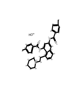 Cc1ccc(C(=O)Oc2cc(OC(=O)c3ccc(C)cc3)c3c(CCN4CCCCC4)cccc3c2)cc1.Cl